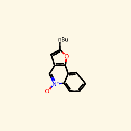 CCCCc1cc2c[n+]([O-])c3ccccc3c2o1